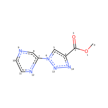 COC(=O)c1cn(-c2cnccn2)nn1